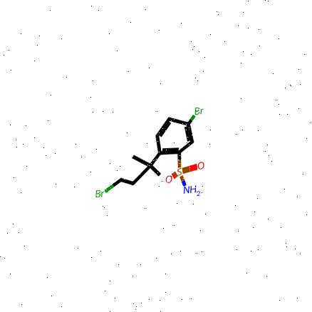 CC(C)(CCBr)c1ccc(Br)cc1S(N)(=O)=O